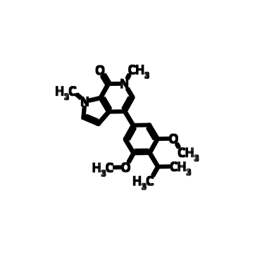 COc1cc(-c2cn(C)c(=O)c3c2ccn3C)cc(OC)c1C(C)C